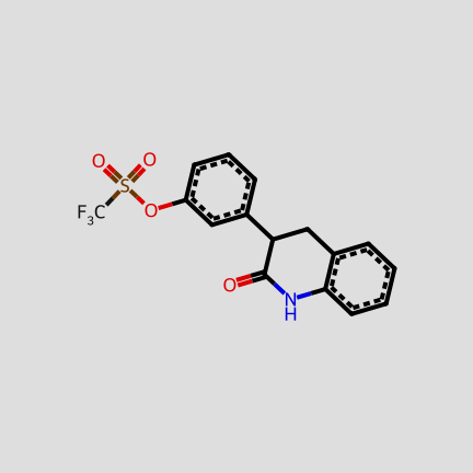 O=C1Nc2ccccc2CC1c1cccc(OS(=O)(=O)C(F)(F)F)c1